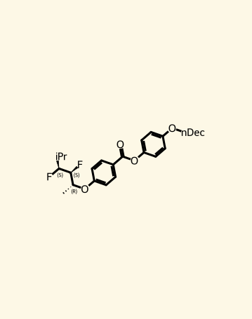 CCCCCCCCCCOc1ccc(OC(=O)c2ccc(O[C@H](C)[C@H](F)[C@@H](F)C(C)C)cc2)cc1